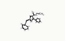 CCOC(=O)c1cn(Cc2ccccc2)nc1-c1ccccc1